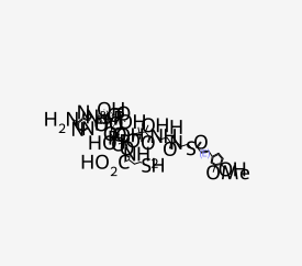 COc1cc(/C=C/C(=O)SCCNC(=O)CCNC(=O)C(O)C(C)(C)COP(=O)(O)OP(=O)(O)OC[C@H]2O[C@@H](n3cnc4c(N)ncnc43)[C@H](O)[C@@H]2OP(=O)(O)O)ccc1O.NC(CCS)C(=O)O